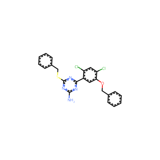 Nc1nc(SCc2ccccc2)nc(-c2cc(OCc3ccccc3)c(Cl)cc2Cl)n1